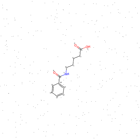 O=C(O)CCCCNC(=O)c1ccccc1